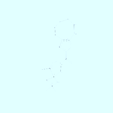 O=C(NCC1(C(=O)O)CC(F)(F)C1)c1cc2c(s1)CCCCCC2